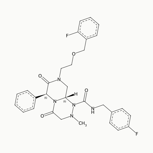 CN1CC(=O)N2[C@@H](c3ccccc3)C(=O)N(CCOCc3ccccc3F)C[C@@H]2N1C(=O)NCc1ccc(F)cc1